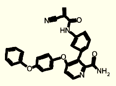 C=C(C#N)C(=O)Nc1cccc(-c2c(Oc3ccc(Oc4ccccc4)cc3)ccnc2C(N)=O)c1